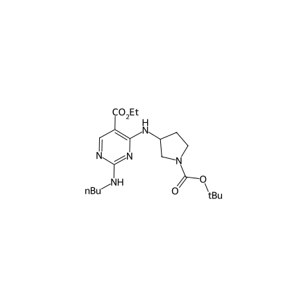 CCCCNc1ncc(C(=O)OCC)c(NC2CCN(C(=O)OC(C)(C)C)C2)n1